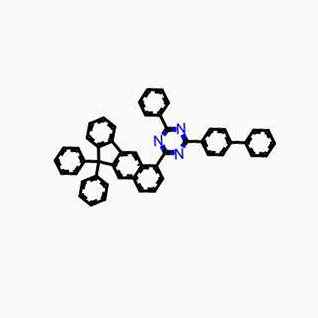 c1ccc(-c2ccc(-c3nc(-c4ccccc4)nc(-c4cccc5cc6c(cc45)-c4ccccc4C6(c4ccccc4)c4ccccc4)n3)cc2)cc1